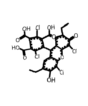 CCc1cc2c(-c3c(Cl)c(C(=O)O)c(C(=O)O)c(Cl)c3C(=O)O)c3cc(CC)c(=O)c(Cl)c-3oc2c(Cl)c1O